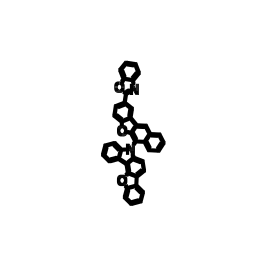 c1ccc2c(-n3c4ccccc4c4c5oc6ccccc6c5ccc43)c3oc4ccc(-c5nc6ccccc6o5)cc4c3cc2c1